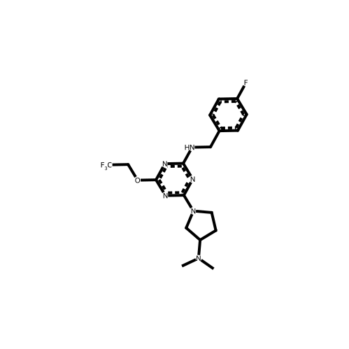 CN(C)C1CCN(c2nc(NCc3ccc(F)cc3)nc(OCC(F)(F)F)n2)C1